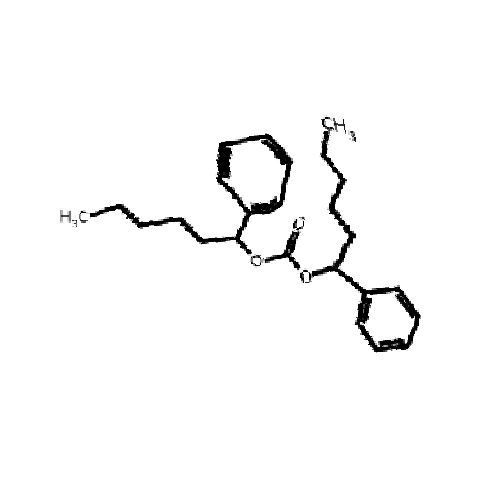 CCCCCC(OC(=O)OC(CCCCC)c1ccccc1)c1ccccc1